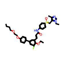 CCCCOCCOc1ccc(-c2cc(F)c(OCC)c(/C=C/C(=O)Nc3ccc([S@@+]([O-])Cc4c(C)ncn4CC)cc3)c2)cc1